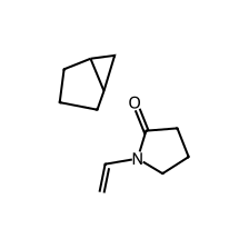 C1CC2CC2C1.C=CN1CCCC1=O